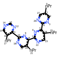 CCCc1cnc(-c2nc(-c3nc(-c4ncncc4CCC)ncc3CCC)ncc2CCC)nc1